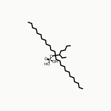 CCCCCCCCCCCCC(CCCCCCCCCCCC)(OP(=O)(O)O)C(CC)CCCC